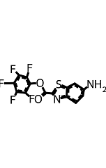 Nc1ccc2nc(C(=O)Oc3c(F)c(F)c(F)c(F)c3F)sc2c1